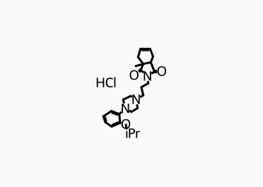 CC(C)Oc1ccccc1N1CCN(CCCN2C(=O)C3CC=CCC3(C)C2=O)CC1.Cl